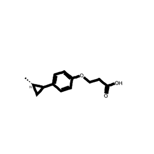 C[C@H]1CC1c1ccc(OCCC(=O)O)cc1